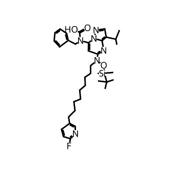 CC(C)c1cnn2c(N(Cc3ccccc3)C(=O)O)cc(N(CCCCCCCCCc3ccc(F)nc3)O[Si](C)(C)C(C)(C)C)nc12